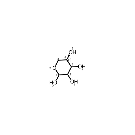 OC1OC[C@@H](O)C(O)C1O